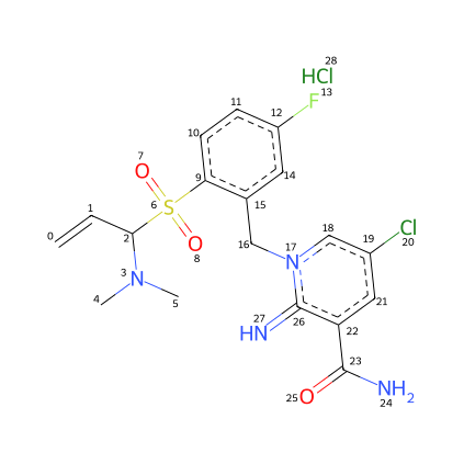 C=CC(N(C)C)S(=O)(=O)c1ccc(F)cc1Cn1cc(Cl)cc(C(N)=O)c1=N.Cl